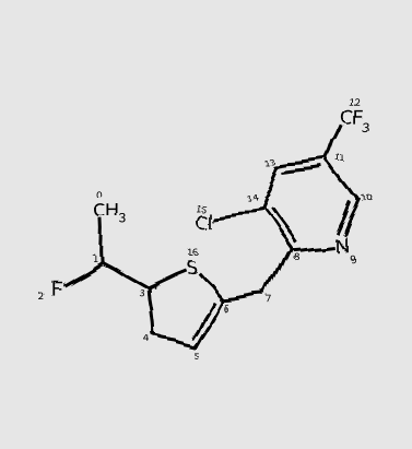 CC(F)[C]1CC=C(Cc2ncc(C(F)(F)F)cc2Cl)S1